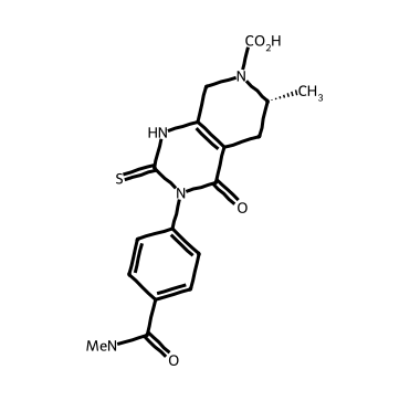 CNC(=O)c1ccc(-n2c(=S)[nH]c3c(c2=O)C[C@@H](C)N(C(=O)O)C3)cc1